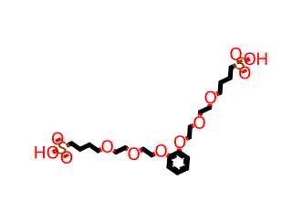 O=S(=O)(O)CCCCOCCOCCOc1ccccc1OCCOCCOCCCCS(=O)(=O)O